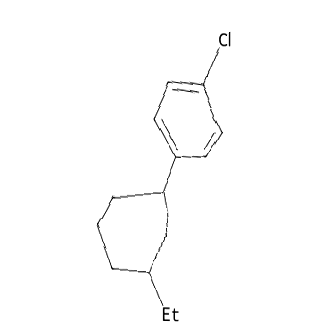 [CH2]CC1CCCC(c2ccc(Cl)cc2)C1